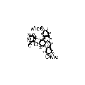 COc1ccc(CN(Cc2ccc(OC)cc2)[C@H]2CC[C@H](Oc3nccnc3Cl)CC2)cc1